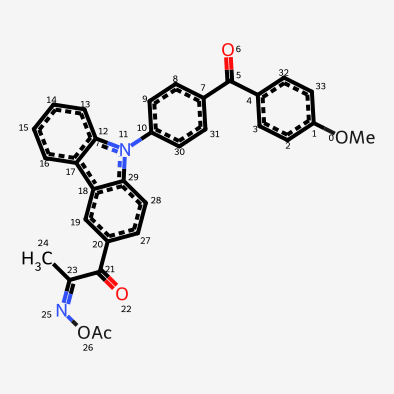 COc1ccc(C(=O)c2ccc(-n3c4ccccc4c4cc(C(=O)/C(C)=N\OC(C)=O)ccc43)cc2)cc1